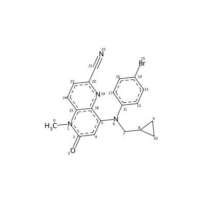 Cn1c(=O)cc(N(CC2CC2)c2ccc(Br)cc2)c2nc(C#N)ccc21